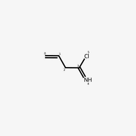 C=CCC(=N)Cl